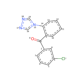 O=C(c1cccc(Cl)c1)c1ccccc1-n1cnnc1